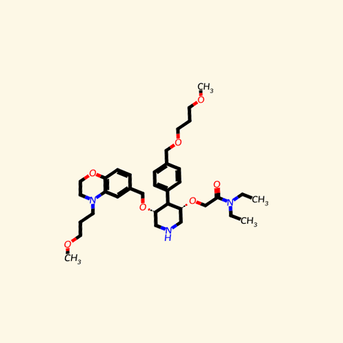 CCN(CC)C(=O)CO[C@@H]1CNC[C@H](OCc2ccc3c(c2)N(CCCOC)CCO3)C1c1ccc(COCCCOC)cc1